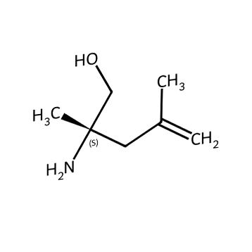 C=C(C)C[C@](C)(N)CO